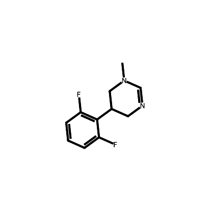 CN1C=NCC(c2c(F)cccc2F)C1